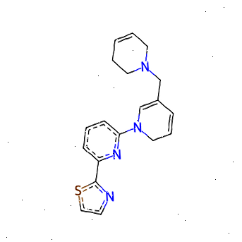 C1=CCN(CC2=CN(c3cccc(-c4nccs4)n3)CC=C2)CC1